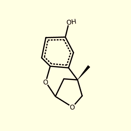 C[C@@]12COC(C1)Oc1ccc(O)cc12